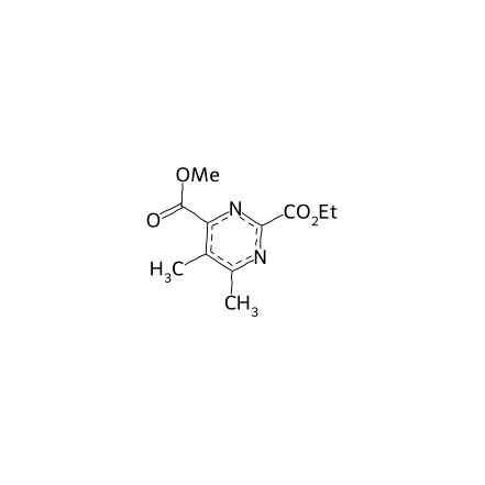 CCOC(=O)c1nc(C)c(C)c(C(=O)OC)n1